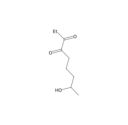 CCC(=O)C(=O)CCCC(C)O